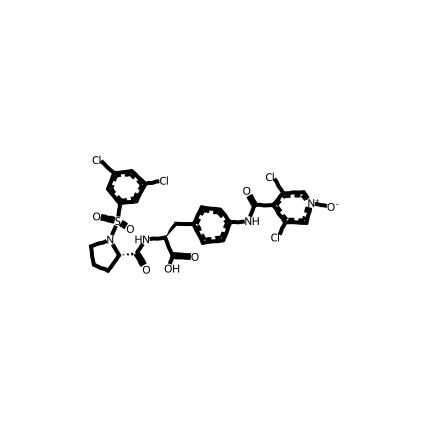 O=C(Nc1ccc(C[C@H](NC(=O)[C@@H]2CCCN2S(=O)(=O)c2cc(Cl)cc(Cl)c2)C(=O)O)cc1)c1c(Cl)c[n+]([O-])cc1Cl